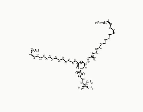 CCCCC/C=C\C/C=C\CCCCCCCCCC(=O)OC[C@H](COP(=O)([O-])OCC[N+](C)(C)C)OC(=O)CCCCCCCCCCCCC/C=C\CCCCCCCC